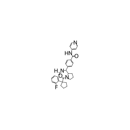 NC(c1ccc(C(=O)Nc2ccncc2)cc1)C1CCCN1C(=O)C1(c2ccccc2F)CCCC1